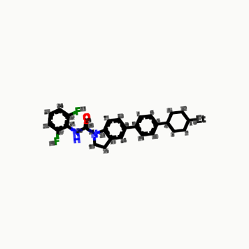 CCC1CCC(c2ccc(-c3ccc4c(c3)CCN4C(=O)Nc3c(F)cccc3F)cc2)CC1